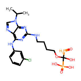 CC(C)n1cnc2c(Nc3cccc(Cl)c3)nc(NCCCCOC(O)([PH2]=O)P(=O)(O)O)nc21